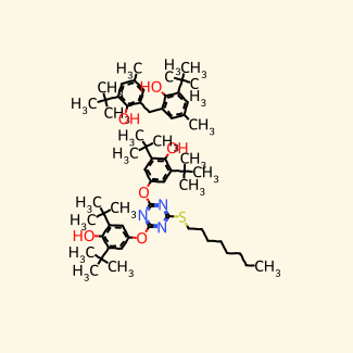 CCCCCCCCSc1nc(Oc2cc(C(C)(C)C)c(O)c(C(C)(C)C)c2)nc(Oc2cc(C(C)(C)C)c(O)c(C(C)(C)C)c2)n1.Cc1cc(Cc2cc(C)cc(C(C)(C)C)c2O)c(O)c(C(C)(C)C)c1